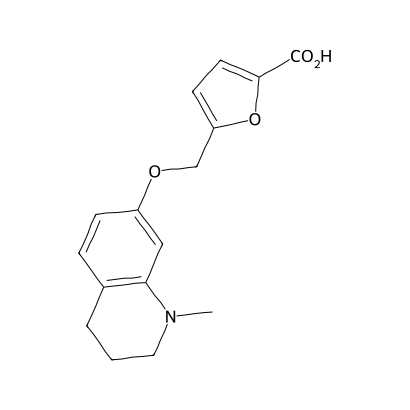 CN1CCCc2ccc(OCc3ccc(C(=O)O)o3)cc21